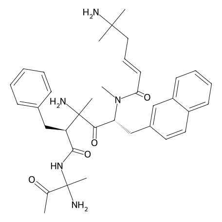 CC(=O)C(C)(N)NC(=O)[C@@H](Cc1ccccc1)C(C)(N)C(=O)[C@@H](Cc1ccc2ccccc2c1)N(C)C(=O)/C=C/CC(C)(C)N